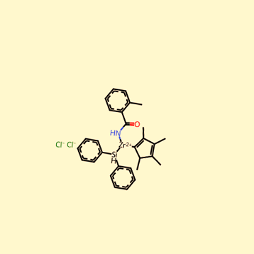 CC1=C(C)C(C)[C]([Zr+2]([NH]C(=O)c2ccccc2C)[SiH](c2ccccc2)c2ccccc2)=C1C.[Cl-].[Cl-]